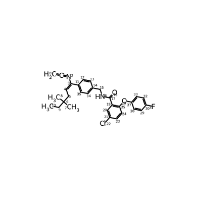 C=C=N/C(=C/CC(C)(C)CC)c1ccc(CNC(=O)c2cc(Cl)ccc2Oc2ccc(F)cc2)cc1